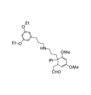 CCOc1cc(CCCNCCCC2(C(C)C)C(OC)=CC(OC)=CC2CC=O)cc(OCC)c1